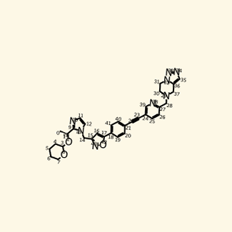 C[C@H](OC1CCCCO1)c1nccn1Cc1cc(-c2ccc(C#Cc3ccc(CN4CCn5nncc5C4)nc3)cc2)on1